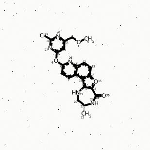 COCc1cc(Oc2ccc3c(ccc4oc5c(c43)NC[C@@H](C)NC5=O)n2)nc(Cl)n1